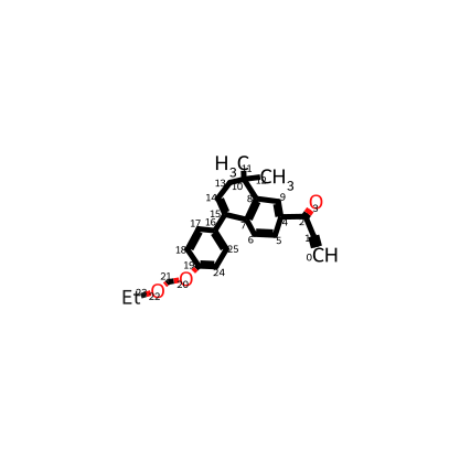 C#CC(=O)c1ccc2c(c1)C(C)(C)CC=C2c1ccc(OCOCC)cc1